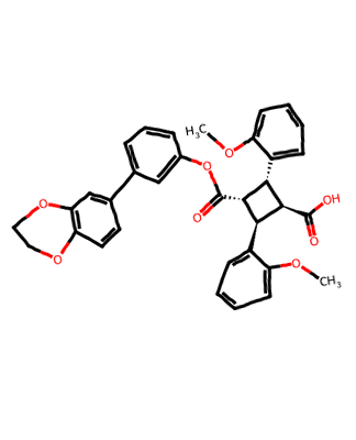 COc1ccccc1[C@@H]1[C@H](C(=O)O)[C@@H](c2ccccc2OC)[C@H]1C(=O)Oc1cccc(-c2ccc3c(c2)OCCO3)c1